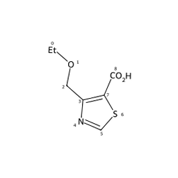 CCOCc1ncsc1C(=O)O